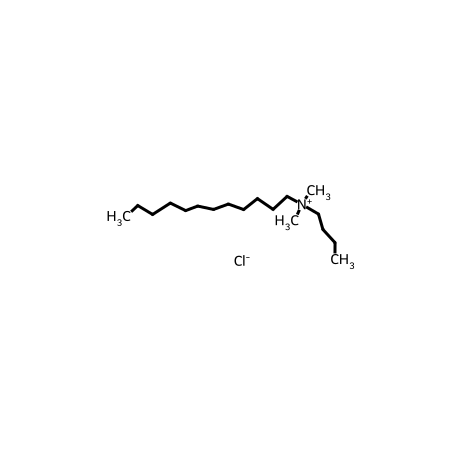 CCCCCCCCCCCC[N+](C)(C)CCCC.[Cl-]